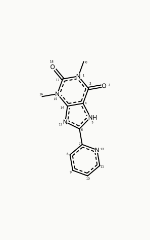 Cn1c(=O)c2[nH]c(-c3ccccn3)nc2n(C)c1=O